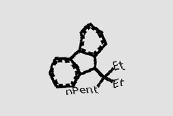 CCCCCC(CC)(CC)C1c2ccccc2-c2ccccc21